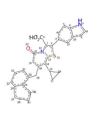 O=C(O)c1c(-c2ccc3[nH]ccc3c2)sc2c(C3CC3)c(Cc3cccc4ccccc34)cc(=O)n12